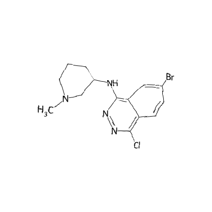 CN1CCCC(Nc2nnc(Cl)c3ccc(Br)cc23)C1